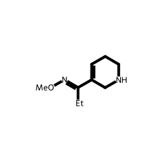 CC/C(=N\OC)C1=CCCNC1